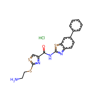 Cl.NCCSc1nc(C(=O)Nc2nc3ccc(-c4ccccc4)cc3s2)cs1